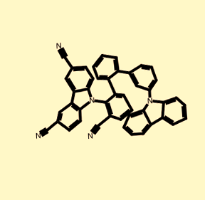 N#Cc1ccc2c(c1)c1cc(C#N)ccc1n2-c1c(C#N)cccc1-c1ccccc1-c1cccc(-n2c3ccccc3c3ccccc32)c1